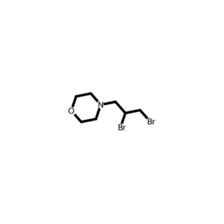 BrCC(Br)CN1CCOCC1